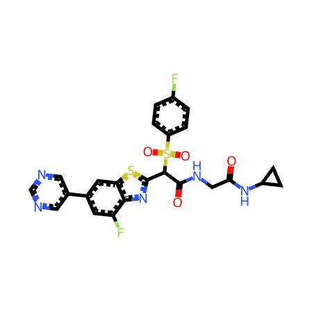 O=C(CNC(=O)C(c1nc2c(F)cc(-c3cncnc3)cc2s1)S(=O)(=O)c1ccc(F)cc1)NC1CC1